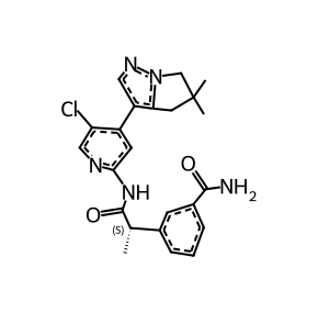 C[C@H](C(=O)Nc1cc(-c2cnn3c2CC(C)(C)C3)c(Cl)cn1)c1cccc(C(N)=O)c1